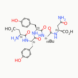 CC[C@H](C)[C@H](NC(=O)[C@H](Cc1ccc(O)cc1)NC(=O)[C@H](Cc1ccc(O)cc1)NC(=O)[C@@H](N)CC(=O)O)C(=O)N[C@@H](CC(N)=O)C(=O)O